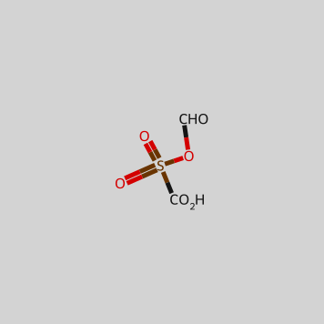 O=COS(=O)(=O)C(=O)O